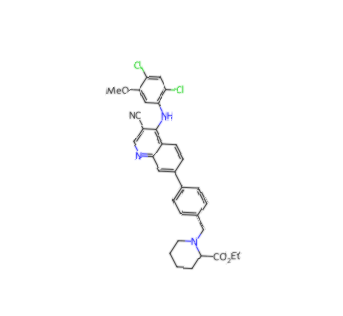 CCOC(=O)C1CCCCN1Cc1ccc(-c2ccc3c(Nc4cc(OC)c(Cl)cc4Cl)c(C#N)cnc3c2)cc1